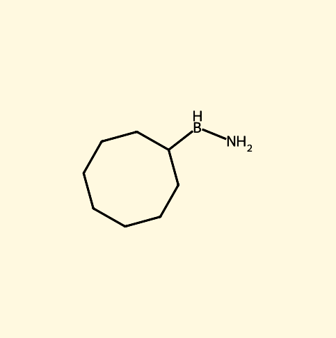 NBC1CCCCCCC1